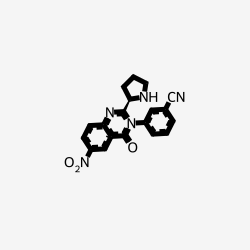 N#Cc1cccc(-n2c([C@H]3CCCN3)nc3ccc([N+](=O)[O-])cc3c2=O)c1